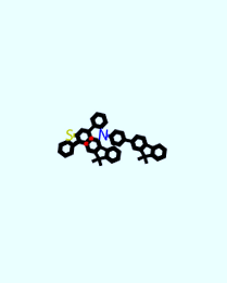 CC1(C)c2ccccc2-c2ccc(-c3ccc(N(c4ccccc4-c4ccc5c(c4)sc4ccccc45)c4cccc5c4-c4ccccc4C5(C)C)cc3)cc21